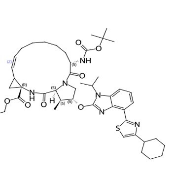 CCOC(=O)[C@@]12CC1/C=C\CCCCC[C@H](NC(=O)OC(C)(C)C)C(=O)N1C[C@H](Oc3nc4c(-c5nc(C6CCCCC6)cs5)cccc4n3C(C)C)[C@@H](C)[C@H]1C(=O)N2